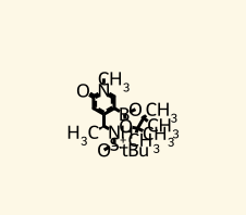 C[C@H](N[S@@+]([O-])C(C)(C)C)c1cc(=O)n(C)cc1B1OC(C)(C)C(C)(C)O1